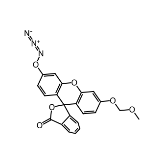 COCOc1ccc2c(c1)Oc1cc(ON=[N+]=[N-])ccc1C21OC(=O)c2ccccc21